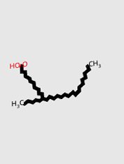 CCCCCCCC/C=C\CCCCCCCCC(CCCCCC)CCCCCCCCCCC(=O)O